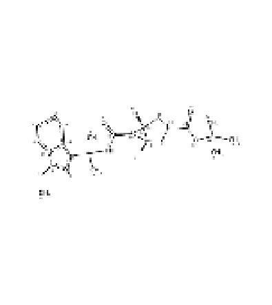 CCn1nc(C(C)(C)NC(=O)[C@H]2[C@@H]3CN(C(=O)OC(C)(C)C)C[C@@H]32)c2ccccc21